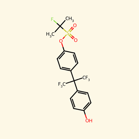 CC(C)(F)S(=O)(=O)Oc1ccc(C(c2ccc(O)cc2)(C(F)(F)F)C(F)(F)F)cc1